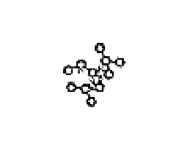 c1ccc(-c2cc(-c3ccccc3)c3c4cccc5c4n(c3c2)-c2cc(-c3cccc(-c4ccccc4)n3)cc3c2B5c2cccc4c5c(-c6ccccc6)cc(-c6ccccc6)cc5n-3c24)cc1